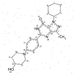 Cc1nn(C2CCCCC2)c2c(=O)[nH]c(-c3ccc(N4CCC(O)CC4)cc3)nc12